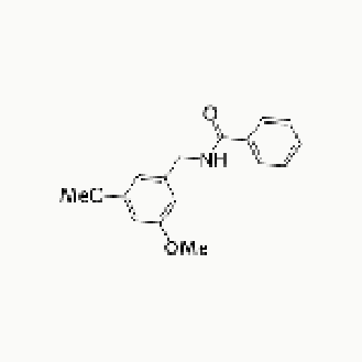 COc1cc(CNC(=O)c2ccccc2)cc(OC)c1